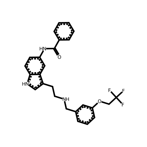 O=C(Nc1ccc2[nH]cc(CCNCc3cccc(OCC(F)(F)F)c3)c2c1)c1ccccc1